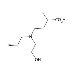 C=CCN(CCO)CCC(C)C(=O)O